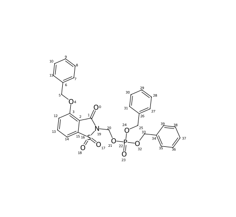 O=C1c2c(OCc3ccccc3)cccc2S(=O)(=O)N1COP(=O)(OCc1ccccc1)OCc1ccccc1